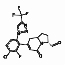 O=C[C@H]1CCC2CC(c3c(-n4cc(C(F)(F)F)nn4)ccc(Cl)c3F)=CC(=O)N21